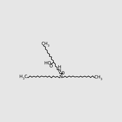 CCCCCCCCCCCCCCCCCCN(CCCCCCCCCCCCCCCCCC)C(=O)CNCCCCC(CCCCCCCCCCC)C(=O)O